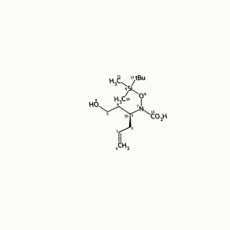 C=CC[C@@H](CCO)N(O[Si](C)(C)C(C)(C)C)C(=O)O